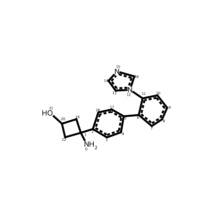 NC1(c2ccc(-c3ccccc3-n3ccnc3)cc2)CC(O)C1